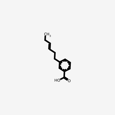 CCC=CCCc1cccc(C(=O)O)c1